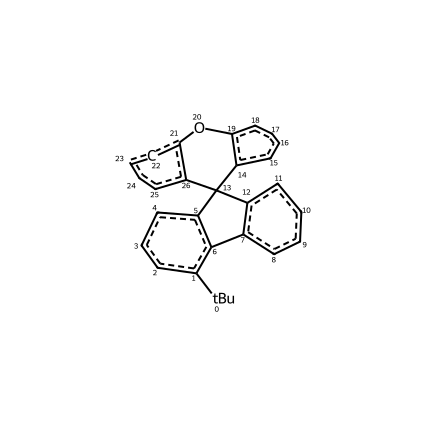 CC(C)(C)c1cccc2c1-c1ccccc1C21c2ccccc2Oc2ccccc21